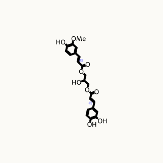 COc1cc(/C=C/C(=O)OCC(O)COC(=O)/C=C/c2ccc(O)c(O)c2)ccc1O